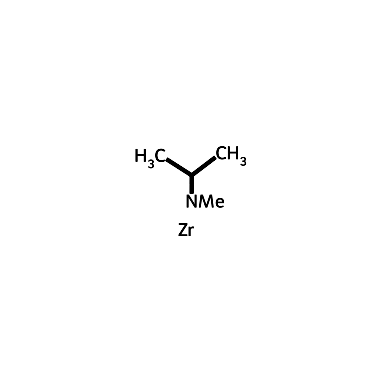 CNC(C)C.[Zr]